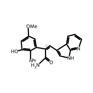 CCCc1c(O)cc(OC)cc1/C(=C/c1c[nH]c2ncccc12)C(N)=O